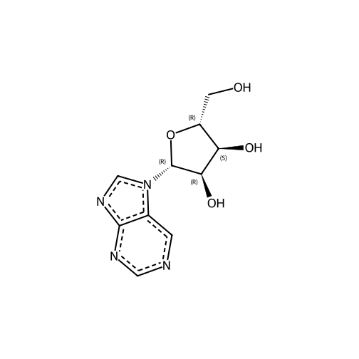 OC[C@H]1O[C@@H](n2cnc3ncncc32)[C@H](O)[C@@H]1O